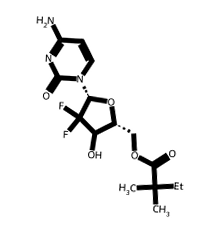 CCC(C)(C)C(=O)OC[C@H]1O[C@@H](n2ccc(N)nc2=O)C(F)(F)C1O